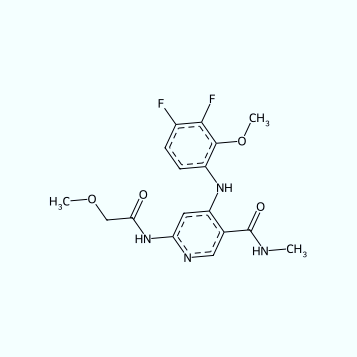 CNC(=O)c1cnc(NC(=O)COC)cc1Nc1ccc(F)c(F)c1OC